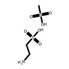 CS(=O)(=O)O.NCCS(=O)(=O)O